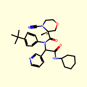 CC(C)(C)c1ccc(N(C(=O)[C@@]2(C)COCCN2C#N)C(C(=O)NC2CCCCC2)c2cccnc2)cc1